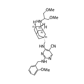 COCC(COC)N[C@@H]1[C@@H]2CC3C[C@H]1C[C@](CNc1nc(NCc4ccccc4OC)ncc1C#N)(C3)C2